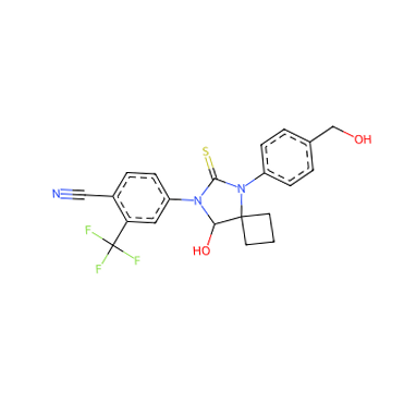 N#Cc1ccc(N2C(=S)N(c3ccc(CO)cc3)C3(CCC3)C2O)cc1C(F)(F)F